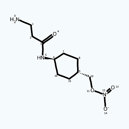 NCCC(=O)N[C@H]1CC[C@H](CO[N+](=O)[O-])CC1